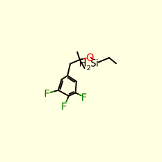 CC[SiH2]OC(C)(C)Cc1cc(F)c(F)c(F)c1